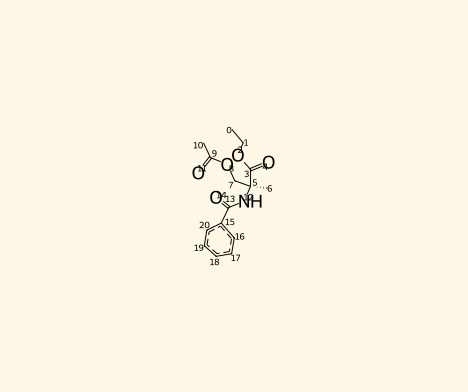 CCOC(=O)[C@](C)(COC(C)=O)NC(=O)c1ccccc1